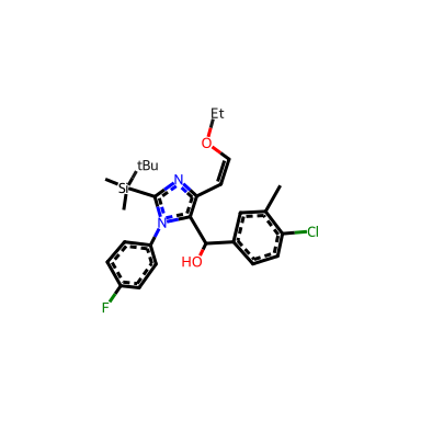 CCO/C=C\c1nc([Si](C)(C)C(C)(C)C)n(-c2ccc(F)cc2)c1C(O)c1ccc(Cl)c(C)c1